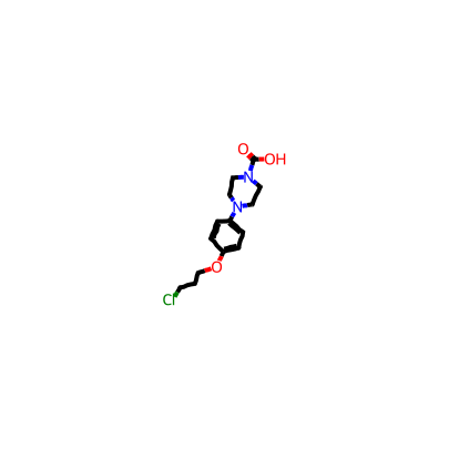 O=C(O)N1CCN(c2ccc(OCCCCl)cc2)CC1